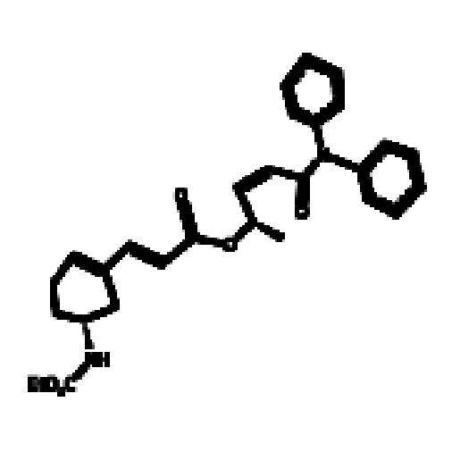 CCOC(=O)N[C@@H]1CCC=C(/C=C/C(=O)O[C@H](C)/C=C\C(=O)N(c2ccccc2)c2ccccc2)C1